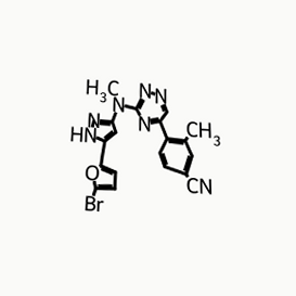 Cc1cc(C#N)ccc1-c1cnnc(N(C)c2cc(-c3ccc(Br)o3)[nH]n2)n1